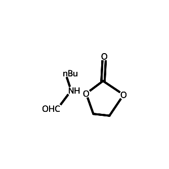 CCCCNC=O.O=C1OCCO1